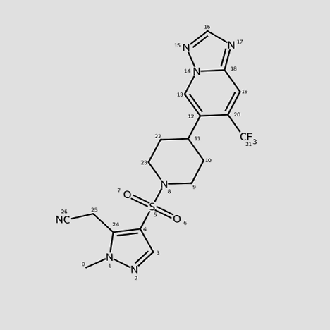 Cn1ncc(S(=O)(=O)N2CCC(c3cn4ncnc4cc3C(F)(F)F)CC2)c1CC#N